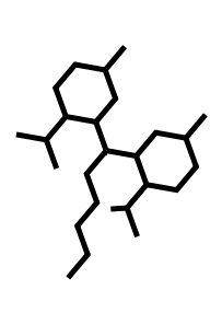 CCCCC[C](C1CC(C)CCC1C(C)C)C1CC(C)CCC1C(C)C